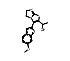 COc1ccc2cc(C3=C(C(C)O)SC4=NCCN43)sc2c1